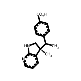 CC(c1ccc(C(=O)O)cc1)[C@@]1(C)CNc2ncccc21